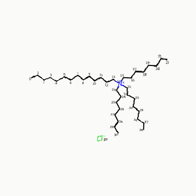 CCCCCCCCCCCCCC[N+](CCCCCCCC)(CCCCCCCC)CCCCCCCC.[Cl-]